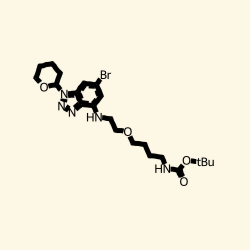 CC(C)(C)OC(=O)NCCCCOCCNc1cc(Br)cc2c1nnn2C1CCCCO1